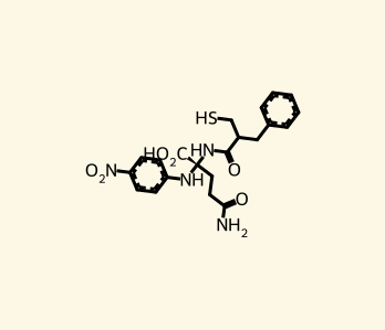 NC(=O)CC[C@@](NC(=O)C(CS)Cc1ccccc1)(Nc1ccc([N+](=O)[O-])cc1)C(=O)O